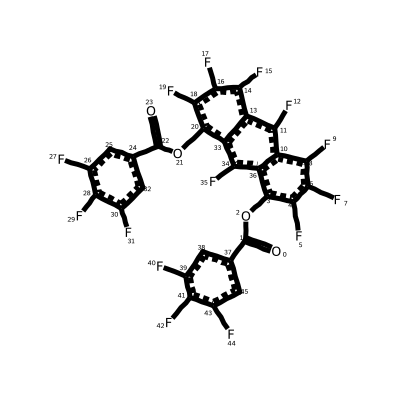 O=C(Oc1c(F)c(F)c(F)c2c(F)c3c(F)c(F)c(F)c(OC(=O)c4cc(F)c(F)c(F)c4)c3c(F)c12)c1cc(F)c(F)c(F)c1